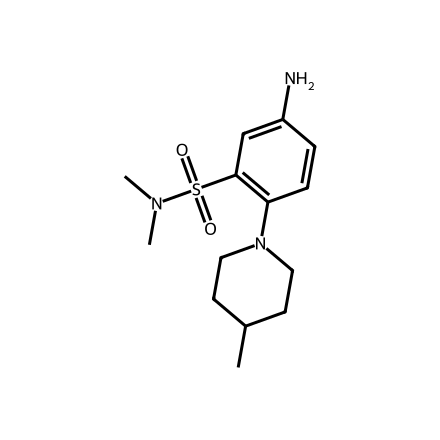 CC1CCN(c2ccc(N)cc2S(=O)(=O)N(C)C)CC1